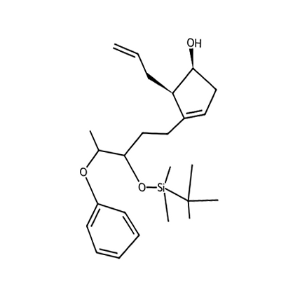 C=CC[C@@H]1C(CCC(O[Si](C)(C)C(C)(C)C)C(C)Oc2ccccc2)=CC[C@@H]1O